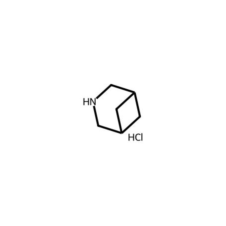 C1NCC2CC1C2.Cl